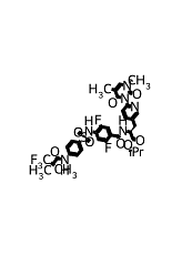 Cc1cn(C)c(=O)n(-c2ccc(C[C@H](NC(=O)c3cc(F)c(NS(=O)(=O)c4ccc(NC(=O)C(C)(C)C(F)(F)F)cc4)cc3F)C(=O)OC(C)C)cn2)c1=O